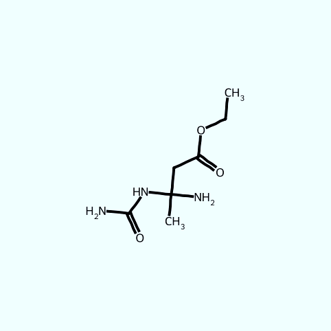 CCOC(=O)CC(C)(N)NC(N)=O